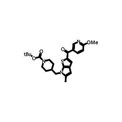 COc1ccc(C(=O)c2cc3cc(C)n(CC4CCN(C(=O)OC(C)(C)C)CC4)c3s2)cn1